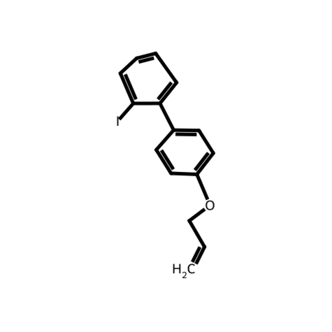 C=CCOc1ccc(-c2ccccc2I)cc1